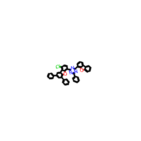 Clc1ccc(-c2nc(-c3ccccc3)nc(-c3cccc4c3oc3ccccc34)n2)c2oc3c(-c4ccccc4)cc(-c4ccccc4)cc3c12